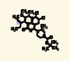 C=NC1=C(/C(=C\C)CC)n2c(=O)nc(N3CCN(C(=O)OC(C)(C)C)C[C@@H]3C)c3cc(Cl)c(Cl)[n+](c32)C1C